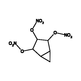 O=[N+]([O-])OC1C2CC2C(O[N+](=O)[O-])C1O[N+](=O)[O-]